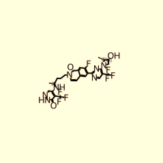 C[C@@H](CCCn1ccc2cc(-c3ncc(C(F)(F)F)c(N4C[C@@H](O)[C@@H]4C)n3)c(F)cc2c1=O)Nc1cn[nH]c(=O)c1C(F)(F)F